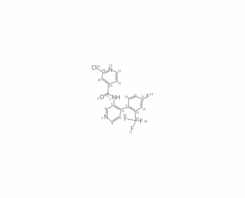 O=C(Nc1cnccc1-c1ccc(F)cc1C(F)(F)F)c1ccnc(Cl)c1